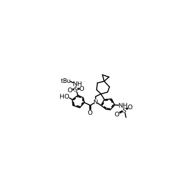 CC(C)(C)NS(=O)(=O)c1cc(C(=O)N2CC3(CCC4(CC4)CC3)c3cc(NS(C)(=O)=O)ccc32)ccc1O